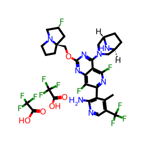 Cc1c(C(F)(F)F)cnc(N)c1-c1nc(F)c2c(N3C[C@H]4CC[C@@H](C3)N4)nc(OC[C@@]34CCCN3C[C@H](F)C4)nc2c1F.O=C(O)C(F)(F)F.O=C(O)C(F)(F)F